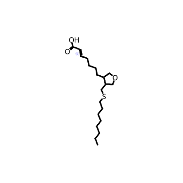 CCCCCCCCSCC1COCC1CCCC/C=C/C(=O)O